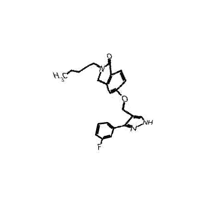 CCCCN1Cc2cc(OCc3c[nH]nc3-c3cccc(F)c3)ccc2C1=O